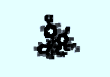 CC(C)NC(=O)N[C@@](Cc1cccc(C#N)c1)(c1cc(F)cc(C(F)(F)F)c1)c1ccc(Cl)cn1